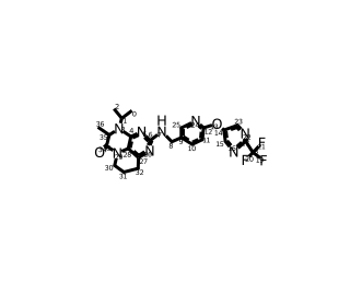 CC(C)N1c2nc(NCc3ccc(Oc4cnc(C(F)(F)F)nc4)nc3)nc3c2N(CCC3)C(=O)C1C